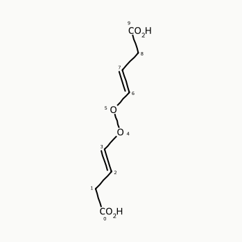 O=C(O)CC=COOC=CCC(=O)O